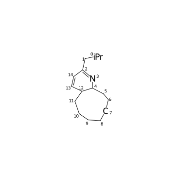 CC(C)CC1=NC2CCCCCCCC2C=C1